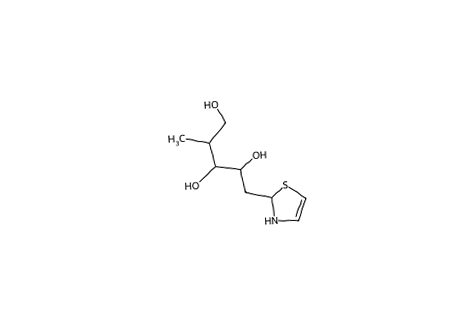 CC(CO)C(O)C(O)CC1NC=CS1